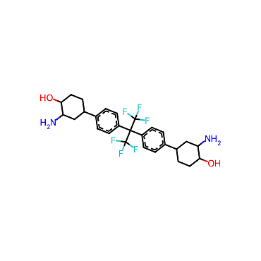 NC1CC(c2ccc(C(c3ccc(C4CCC(O)C(N)C4)cc3)(C(F)(F)F)C(F)(F)F)cc2)CCC1O